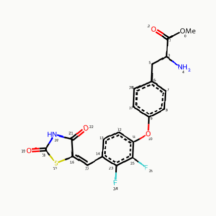 COC(=O)C(N)Cc1ccc(Oc2ccc(/C=C3/SC(=O)NC3=O)c(F)c2F)cc1